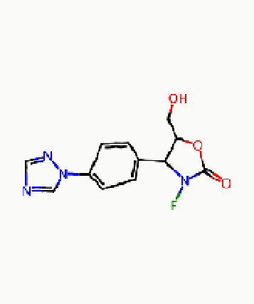 O=C1OC(CO)C(c2ccc(-n3cncn3)cc2)N1F